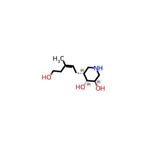 CC(=CC[C@@H]1CNC[C@@H](O)[C@@H]1O)CCO